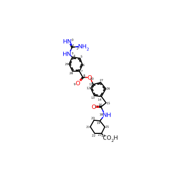 N=C(N)Nc1ccc(C(=O)Oc2ccc(CC(=O)NC3CCCC(C(=O)O)C3)cc2)cc1